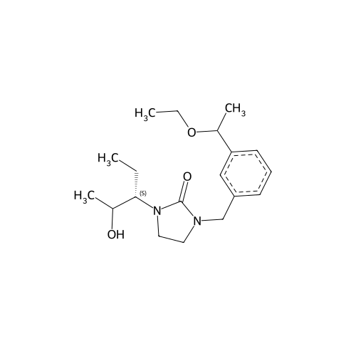 CCOC(C)c1cccc(CN2CCN([C@@H](CC)C(C)O)C2=O)c1